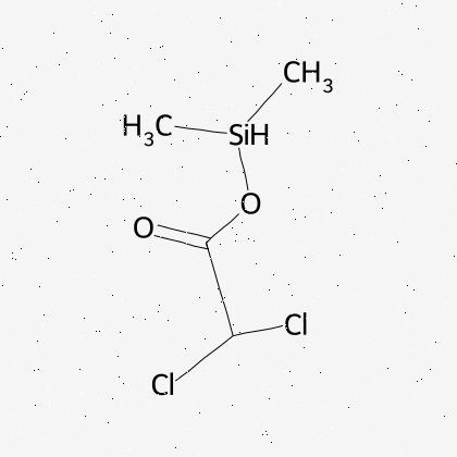 C[SiH](C)OC(=O)C(Cl)Cl